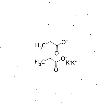 CCC(=O)[O-].CCC(=O)[O-].[K+].[K+]